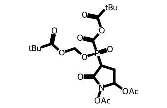 CC(=O)OC1CC(P(=O)(OCOC(=O)C(C)(C)C)C(=O)OC(=O)C(C)(C)C)C(=O)N1OC(C)=O